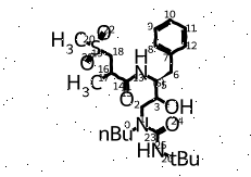 CCCCN(CC(O)[C@H](Cc1ccccc1)NC(=O)C(C)CS(C)(=O)=O)C(=O)NC(C)(C)C